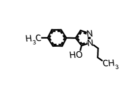 CCCn1ncc(-c2ccc(C)cc2)c1O